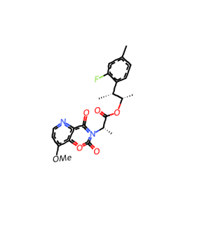 COc1ccnc2c(=O)n([C@@H](C)C(=O)O[C@@H](C)[C@H](C)c3ccc(C)cc3F)c(=O)oc12